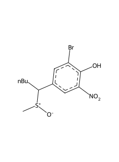 CCCCC(c1cc(Br)c(O)c([N+](=O)[O-])c1)[S+](C)[O-]